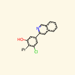 CC(C)c1c(O)cc(-c2cc3ccccc3cn2)cc1Cl